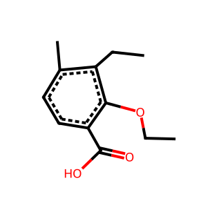 CCOc1c(C(=O)O)ccc(C)c1CC